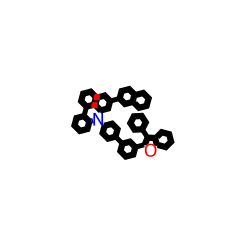 c1ccc(-c2ccccc2N(c2ccc(-c3cccc(-c4oc5ccccc5c4-c4ccccc4)c3)cc2)c2cccc(-c3ccc4ccccc4c3)c2)cc1